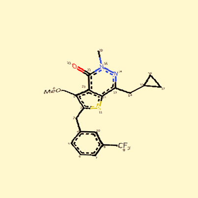 COc1c(Cc2cccc(C(F)(F)F)c2)sc2c(CC3CC3)nn(C)c(=O)c12